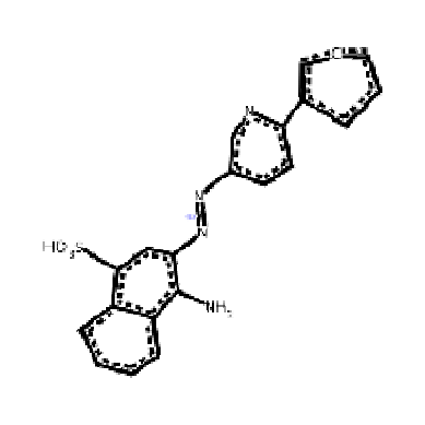 Nc1c(/N=N/c2ccc(-c3ccccc3)nc2)cc(S(=O)(=O)O)c2ccccc12